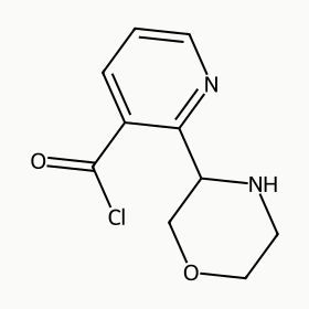 O=C(Cl)c1cccnc1C1COCCN1